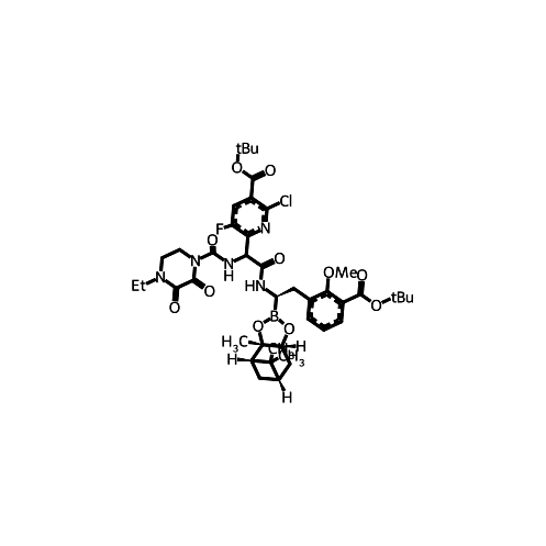 CCN1CCN(C(=O)NC(C(=O)N[C@@H](Cc2cccc(C(=O)OC(C)(C)C)c2OC)B2O[C@@H]3C[C@@H]4C[C@@H](C4(C)C)[C@]3(C)O2)c2nc(Cl)c(C(=O)OC(C)(C)C)cc2F)C(=O)C1=O